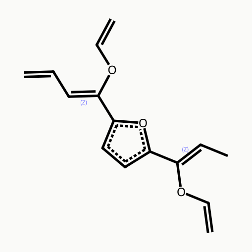 C=C/C=C(\OC=C)c1ccc(/C(=C/C)OC=C)o1